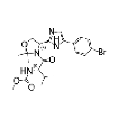 COC(=O)N[C@H](C(=O)N1[C@H](c2ncc(-c3ccc(Br)cc3)[nH]2)COC1(C)C)C(C)C